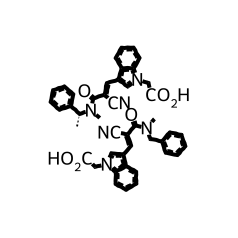 CN(Cc1ccccc1)C(=O)/C(C#N)=C/c1cn(CC(=O)O)c2ccccc12.C[C@H](c1ccccc1)N(C)C(=O)/C(C#N)=C/c1cn(CC(=O)O)c2ccccc12